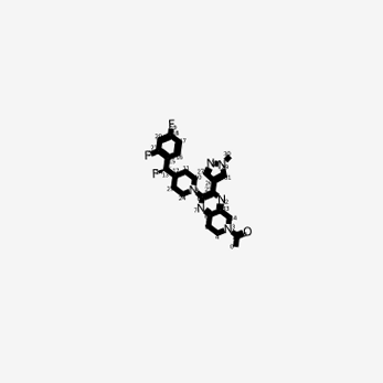 CC(=O)N1CCc2nc(N3CCC([C@@H](F)c4ccc(F)cc4F)CC3)c(-c3cnn(C)c3)nc2C1